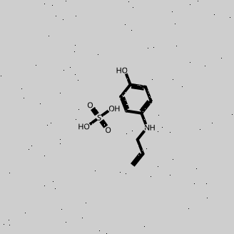 C=CCNc1ccc(O)cc1.O=S(=O)(O)O